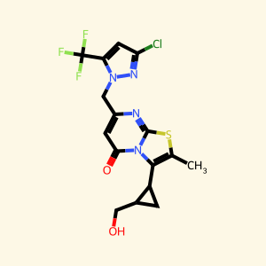 Cc1sc2nc(Cn3nc(Cl)cc3C(F)(F)F)cc(=O)n2c1C1CC1CO